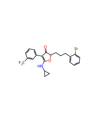 O=C1C(c2cccc(C(F)(F)F)c2)=C(NC2CC2)OC1CCCc1ccccc1Br